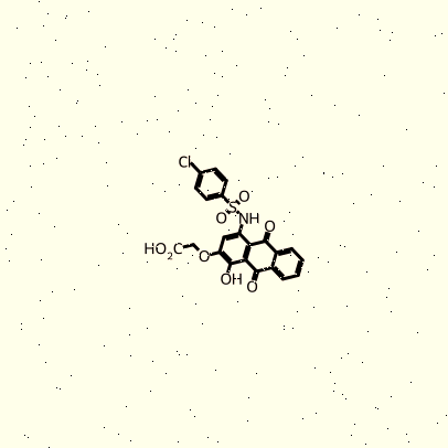 O=C(O)COc1cc(NS(=O)(=O)c2ccc(Cl)cc2)c2c(c1O)C(=O)c1ccccc1C2=O